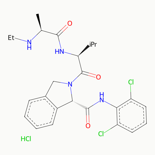 CCN[C@@H](C)C(=O)N[C@H](C(=O)N1Cc2ccccc2[C@H]1C(=O)Nc1c(Cl)cccc1Cl)C(C)C.Cl